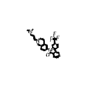 CN(C)CCCN1CCc2cc(NC(=O)c3ccccc3-c3ccc(C(F)(F)F)cc3)ccc2C1